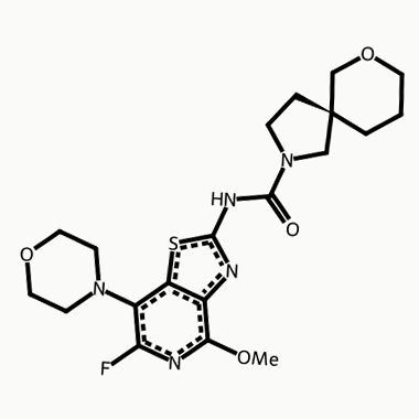 COc1nc(F)c(N2CCOCC2)c2sc(NC(=O)N3CC[C@@]4(CCCOC4)C3)nc12